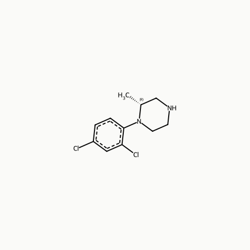 C[C@@H]1CNCCN1c1ccc(Cl)cc1Cl